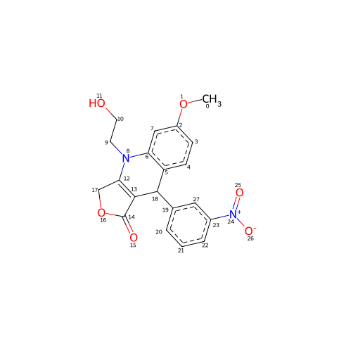 COc1ccc2c(c1)N(CCO)C1=C(C(=O)OC1)C2c1cccc([N+](=O)[O-])c1